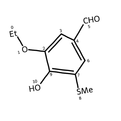 CCOc1cc(C=O)cc(SC)c1O